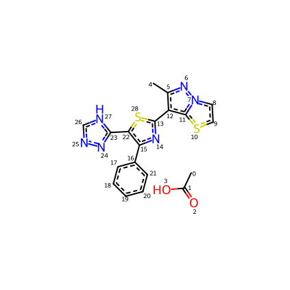 CC(=O)O.Cc1nn2ccsc2c1-c1nc(-c2ccccc2)c(-c2nnc[nH]2)s1